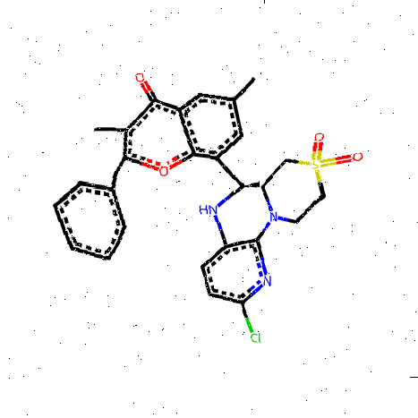 Cc1cc([C@@H](C)Nc2ccc(Cl)nc2N2CCS(=O)(=O)CC2)c2oc(-c3ccccc3)c(C)c(=O)c2c1